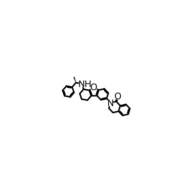 C[C@@H](NC1CCCc2c1oc1ccc(N3CCc4ccccc4C3=O)cc21)c1ccccc1